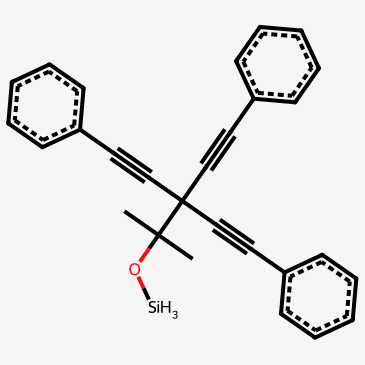 CC(C)(O[SiH3])C(C#Cc1ccccc1)(C#Cc1ccccc1)C#Cc1ccccc1